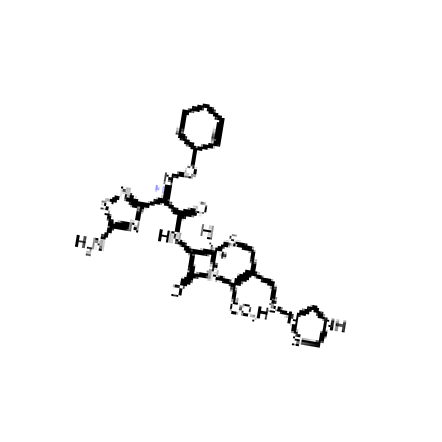 Nc1nc(/C(=N/OC2C=CCCC2)C(=O)NC2C(=O)N3C(C(=O)O)=C(CSN4CNCS4)CS[C@H]23)ns1